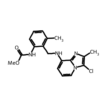 COC(=O)Nc1cccc(C)c1CNc1cccn2c(Cl)c(C)nc12